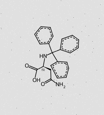 NC(=O)C[C@H](NC(c1ccccc1)(c1ccccc1)c1ccccc1)C(=O)O